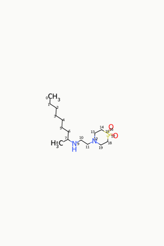 CCCCCCCC(C)NCCN1CCS(=O)(=O)CC1